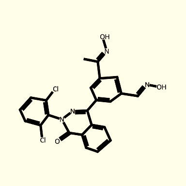 C/C(=N\O)c1cc(/C=N/O)cc(-c2nn(-c3c(Cl)cccc3Cl)c(=O)c3ccccc23)c1